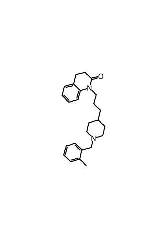 Cc1ccccc1CN1CCC(CCCN2C(=O)CCc3ccccc32)CC1